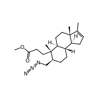 COC(=O)CC[C@@]1(C)[C@H](CN=[N+]=[N-])CC[C@@H]2[C@@H]1CC[C@]1(C)C(C)=CC[C@@H]21